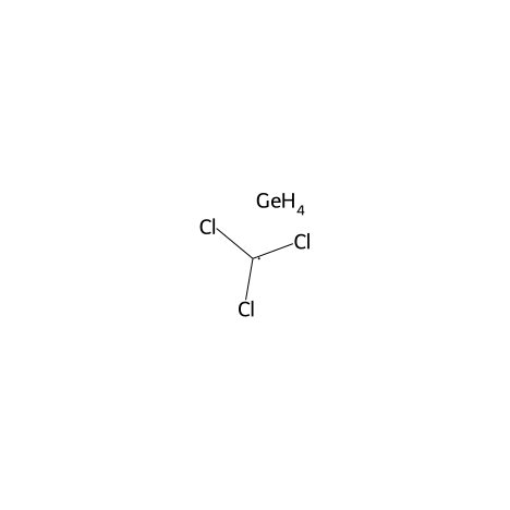 Cl[C](Cl)Cl.[GeH4]